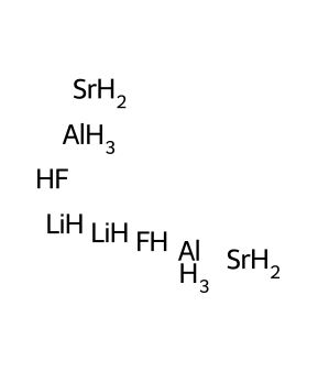 F.F.[AlH3].[AlH3].[LiH].[LiH].[SrH2].[SrH2]